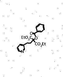 CCOC(=O)C(CCc1cccnc1)(OC(=O)c1ccccc1)C(=O)OCC